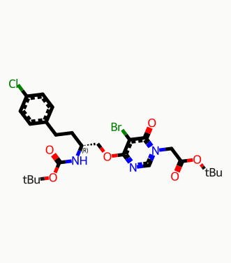 CC(C)(C)OC(=O)Cn1cnc(OC[C@@H](CCc2ccc(Cl)cc2)NC(=O)OC(C)(C)C)c(Br)c1=O